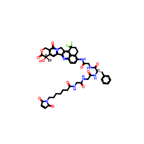 CC[C@@]1(O)C(=O)OCc2c1cc1n(c2=O)Cc2c-1nc1ccc(NC(=O)CNC(=O)[C@H](Cc3ccccc3)NC(=O)CNC(=O)CNC(=O)CCCCCCN3C(=O)C=CC3=O)c3c1c2C(F)(F)CC3